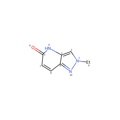 CCn1cc2[nH]c(=O)ccc2n1